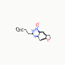 O=CCCc1nc2cc3c(cc2[n+]([O-])n1)CCO3